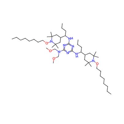 CCCCCCCCON1C(C)(C)CC(C(CCC)Nc2nc(NC(CCC)C3CC(C)(C)N(OCCCCCCCC)C(C)(C)C3)nc(N(COC)COC)n2)CC1(C)C